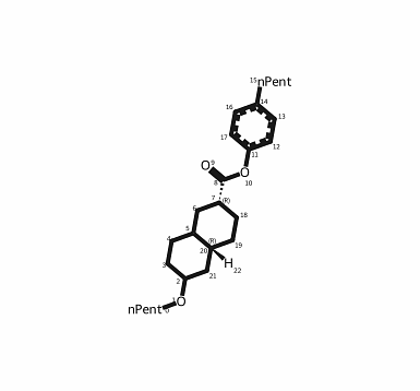 CCCCCOC1CCC2C[C@H](C(=O)Oc3ccc(CCCCC)cc3)CC[C@@H]2C1